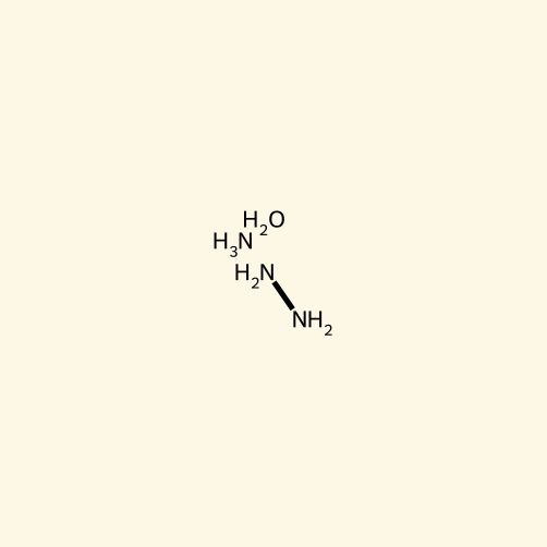 N.NN.O